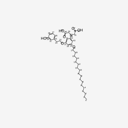 CCCCCCCCCCCCCCCCCCOc1cc(OCCc2cccc(O)c2)cc(N(CC(=O)O)CC(=O)O)c1